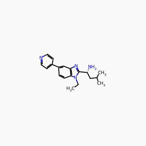 CCn1c([C@H](N)CC(C)C)nc2cc(-c3ccncc3)ccc21